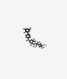 BC(B)(C1CC(C)(O)C1)N1C[C@H]2C[C@H](Nc3ccc(-c4cc(F)cc(F)c4F)nn3)C[C@H]2C1